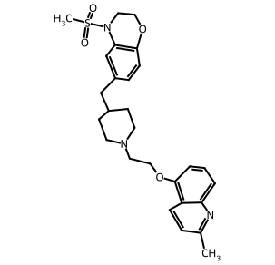 Cc1ccc2c(OCCN3CCC(Cc4ccc5c(c4)N(S(C)(=O)=O)CCO5)CC3)cccc2n1